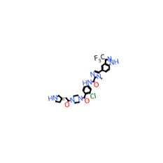 Cn1c(-c2ccc3[nH]nc(C(F)(F)F)c3c2)cnc1C(=O)Nc1ccc(C(=O)N2CCN(C(=O)C[C@@H]3CCNC3)CC2)c(Cl)c1